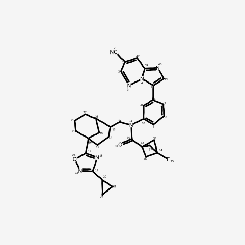 N#Cc1cnn2c(-c3cccc(N(CC4CCC5(c6nc(C7CC7)no6)CCCC4C5)C(=O)C45CC(F)(C4)C5)c3)cnc2c1